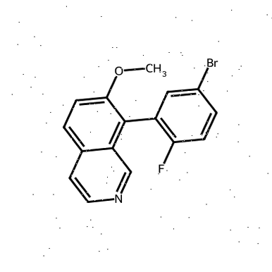 COc1ccc2ccncc2c1-c1cc(Br)ccc1F